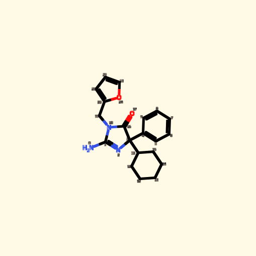 NC1=NC(c2ccccc2)(C2CCCCC2)C(=O)N1Cc1ccco1